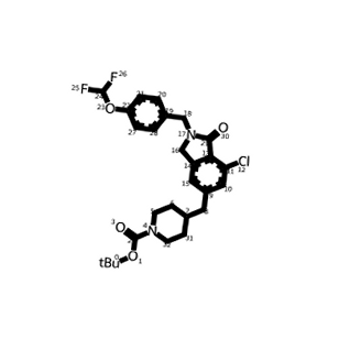 CC(C)(C)OC(=O)N1CCC(Cc2cc(Cl)c3c(c2)CN(Cc2ccc(OC(F)F)cc2)C3=O)CC1